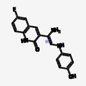 N/C(=C\Nc1ccc(O)cc1)c1cc2cc(F)ccc2[nH]c1=O